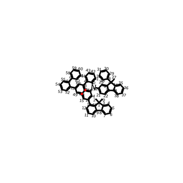 CC1(C)c2ccccc2-c2cccc(-c3cccc(N(c4ccc5c(c4)C(C)(c4ccccc4)c4ccccc4-5)c4ccccc4-c4cccc(-c5ccccc5-c5ccccc5)c4)c3)c21